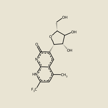 Cc1cc(C(F)(F)F)[nH]c2nc(=O)c([C@@H]3O[C@H](CO)C(O)[C@@H]3O)cc1-2